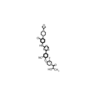 CC(O)C(=O)N1CC[C@H](Oc2ccc(-c3ncnc(Nc4ccc(N5CCN(C6COC6)CC5)c(Cl)c4)n3)cc2C#N)[C@H](F)C1